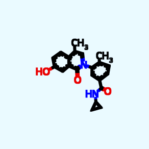 Cc1ccc(C(=O)NC2CC2)cc1-n1cc(C)c2ccc(O)cc2c1=O